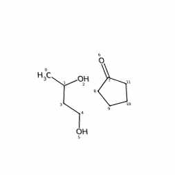 CC(O)CCO.O=C1CCCC1